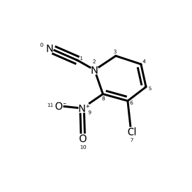 N#CN1CC=CC(Cl)=C1[N+](=O)[O-]